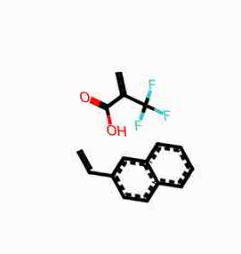 C=C(C(=O)O)C(F)(F)F.C=Cc1ccc2ccccc2c1